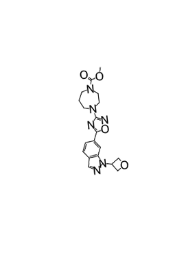 COC(=O)N1CCCN(c2noc(-c3ccc4cnn(C5COC5)c4c3)n2)CC1